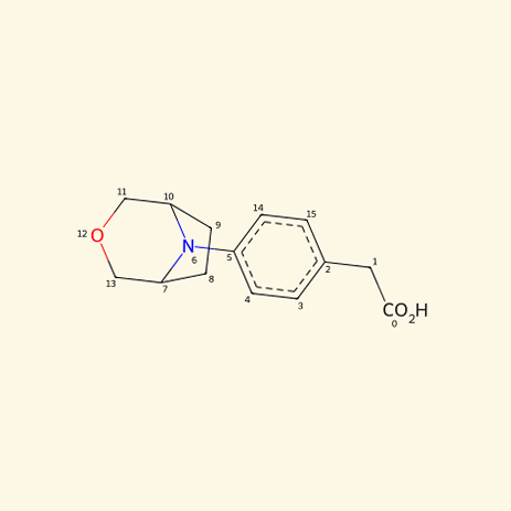 O=C(O)Cc1ccc(N2C3CCC2COC3)cc1